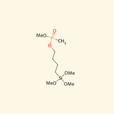 CO[Si](CCCCOP(C)(=O)OC)(OC)OC